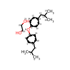 CC(C)Cc1ccc(Oc2ccc(CC(C)C)cc2)cc1.OCCO